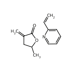 C=C1CC(C)OC1=O.C=Cc1ccccn1